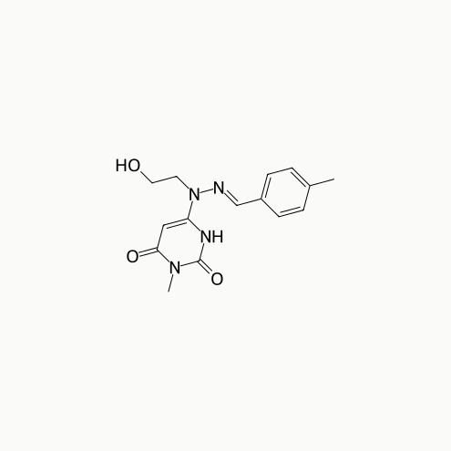 Cc1ccc(C=NN(CCO)c2cc(=O)n(C)c(=O)[nH]2)cc1